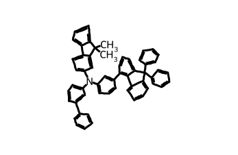 CC1(C)c2ccccc2-c2ccc(N(c3cccc(-c4ccccc4)c3)c3cccc(-c4cccc5c4-c4ccccc4C5(c4ccccc4)c4ccccc4)c3)cc21